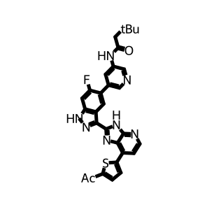 CC(=O)c1ccc(-c2ccnc3[nH]c(-c4n[nH]c5cc(F)c(-c6cncc(NC(=O)CC(C)(C)C)c6)cc45)nc23)s1